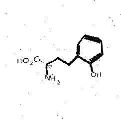 N[C@@H](CCc1ccccc1O)C(=O)O